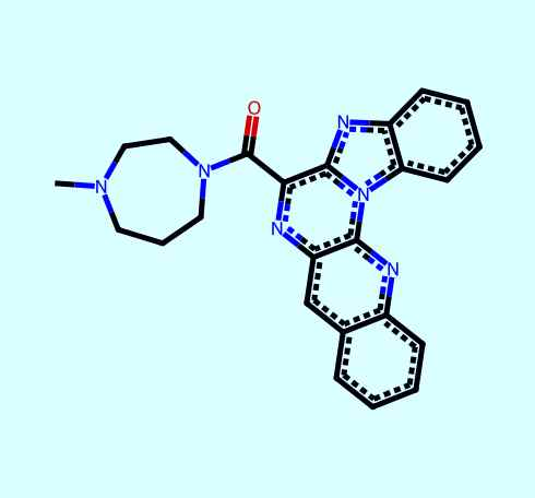 CN1CCCN(C(=O)c2nc3cc4ccccc4nc3n3c2nc2ccccc23)CC1